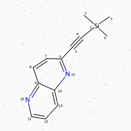 C[Si](C)(C)C#Cc1ccc2ncccc2n1